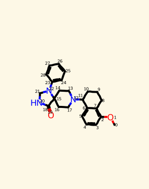 COc1cccc2c1CCCC2N1CCC2(CC1)C(=O)NCN2c1ccccc1